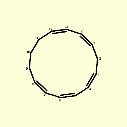 [C]1=CCC=CC=CC=CCCCC=C1